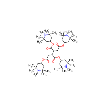 CN1C(C)(C)CC(OC(=O)CC(C(=O)OC2CC(C)(C)N(C)C(C)(C)C2)C(CC(=O)OC2CC(C)(C)N(C)C(C)(C)C2)C(=O)OC2CC(C)(C)N(C)C(C)(C)C2)CC1(C)C